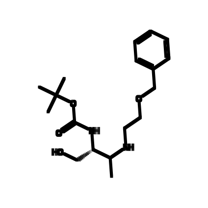 CC(NCCOCc1ccccc1)[C@H](CO)NC(=O)OC(C)(C)C